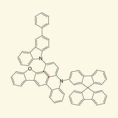 c1ccc(-c2ccc3c(c2)c2ccccc2n3-c2ccc(N(c3ccc4c(c3)C3(c5ccccc5-c5ccccc53)c3ccccc3-4)c3ccccc3-c3ccc4oc5ccccc5c4c3)cc2)cc1